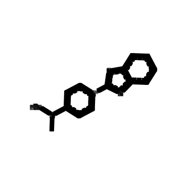 CCCCN(C)c1cc[n+](-c2nc3ccccc3s2)cc1